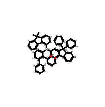 CC1(C)c2ccccc2-c2c(N(c3ccc4c(c3)C(c3ccccc3)(c3ccccc3)c3ccccc3-4)c3cccc(-c4ccccc4)c3-c3ccccc3)cccc21